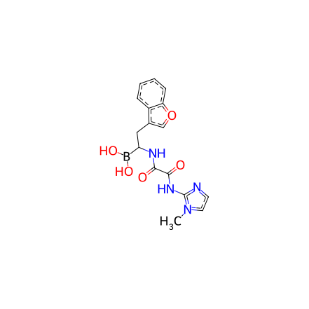 Cn1ccnc1NC(=O)C(=O)NC(Cc1coc2ccccc12)B(O)O